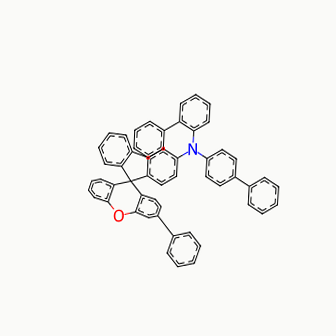 c1ccc(-c2ccc(N(c3ccc4c(c3)-c3ccccc3C43c4ccccc4Oc4cc(-c5ccccc5)ccc43)c3ccccc3-c3ccccc3)cc2)cc1